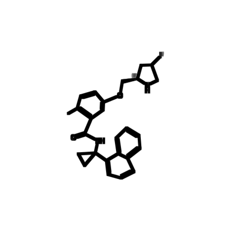 Cc1ccc(OC[C@H]2CC(F)CN2)cc1C(=O)NC1(c2cccc3ccccc23)CC1